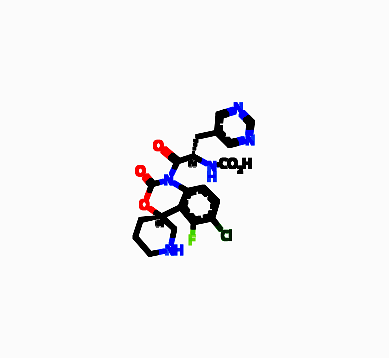 O=C(O)N[C@@H](Cc1cncnc1)C(=O)N1C(=O)O[C@]2(CCCNC2)c2c1ccc(Cl)c2F